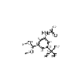 COC(OC)c1cc(NC(C)=O)cc(C(F)(F)F)c1